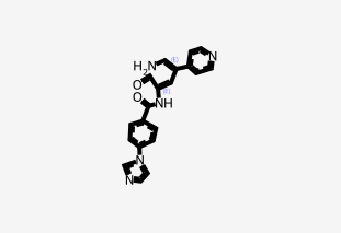 N/C=C(\C=C(/C=O)NC(=O)c1ccc(-n2ccnc2)cc1)c1ccncc1